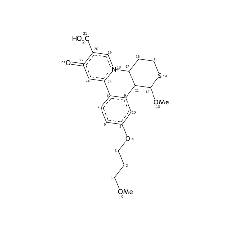 COCCCOc1ccc2c(c1)C1C(OC)SCCC1n1cc(C(=O)O)c(=O)cc1-2